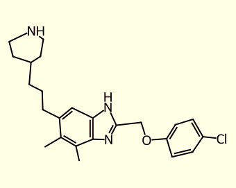 Cc1c(CCCC2CCNCC2)cc2[nH]c(COc3ccc(Cl)cc3)nc2c1C